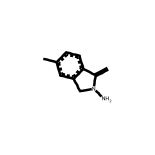 C=C1c2ccc(C)cc2CN1N